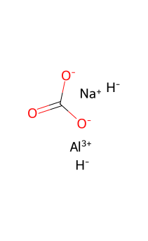 O=C([O-])[O-].[Al+3].[H-].[H-].[Na+]